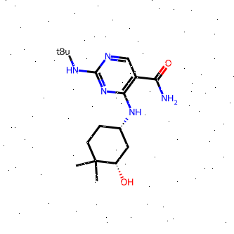 CC(C)(C)Nc1ncc(C(N)=O)c(N[C@H]2CCC(C)(C)[C@@H](O)C2)n1